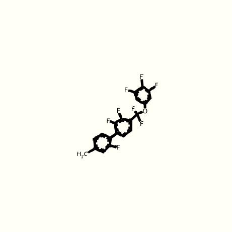 Cc1ccc(-c2ccc(C(F)(F)Oc3cc(F)c(F)c(F)c3)c(F)c2F)c(F)c1